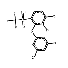 N=S(=O)(c1ccc(Cl)c(Br)c1Oc1cc(F)cc(Cl)c1)C(F)(F)F